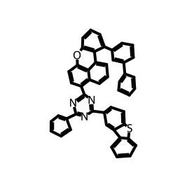 c1ccc(-c2cccc(-c3cccc4c3-c3cccc5c(-c6nc(-c7ccccc7)nc(-c7ccc8sc9ccccc9c8c7)n6)ccc(c35)O4)c2)cc1